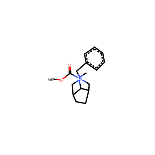 CN(C(=O)OC(C)(C)C)C1C2CCC1CN(Cc1ccccc1)C2